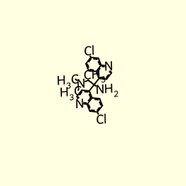 C[C@H](N(C)C)C(N)(c1ccnc2cc(Cl)ccc12)c1ccnc2cc(Cl)ccc12